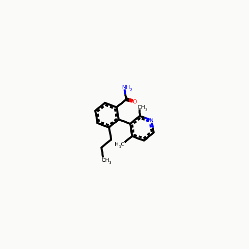 CCCc1cccc(C(N)=O)c1-c1c(C)ccnc1C